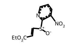 CCOC(=O)C=C[S+]([O-])c1ncccc1[N+](=O)[O-]